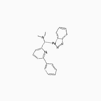 CN(C)C(c1cccc(-c2ccccc2)n1)n1nnc2ccccc21